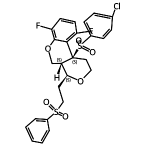 O=S(=O)(CC[C@@H]1OCC[C@@]2(S(=O)(=O)c3ccc(Cl)cc3)c3c(F)ccc(F)c3OC[C@@H]12)c1ccccc1